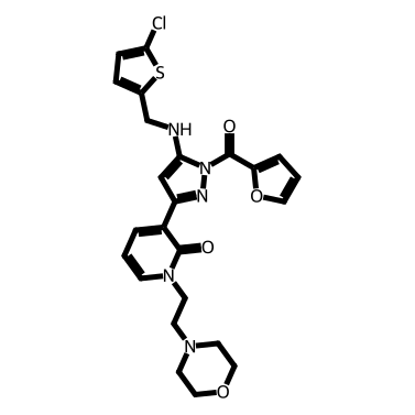 O=C(c1ccco1)n1nc(-c2cccn(CCN3CCOCC3)c2=O)cc1NCc1ccc(Cl)s1